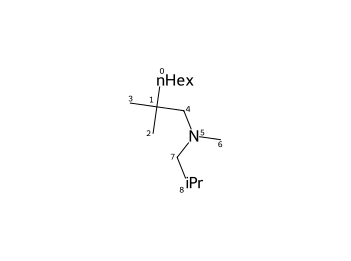 CCCCCCC(C)(C)CN(C)CC(C)C